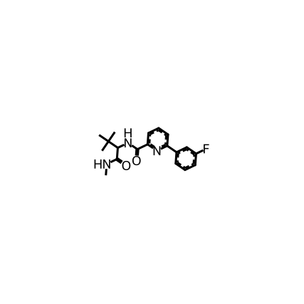 CNC(=O)C(NC(=O)c1cccc(-c2cccc(F)c2)n1)C(C)(C)C